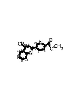 COC(=O)c1ccc(-c2cc(Cl)c3cnccc3n2)cn1